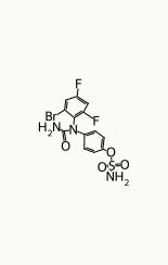 NC(=O)N(c1ccc(OS(N)(=O)=O)cc1)c1c(F)cc(F)cc1Br